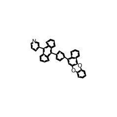 c1cncc(-c2c3ccccc3c(-c3ccc(-c4cc5c(c6ccccc46)Oc4ccccc4O5)cc3)c3ccccc23)c1